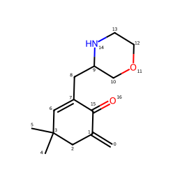 C=C1CC(C)(C)C=C(CC2COCCN2)C1=O